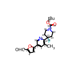 Cc1cc(-c2ccc(C=O)o2)cnc1C1(F)CCN(C(=O)OC(C)(C)C)CC1